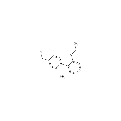 CCOc1ccccc1-c1ccc(CN)cc1.N